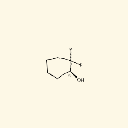 O[C@H]1CCCCC1(F)F